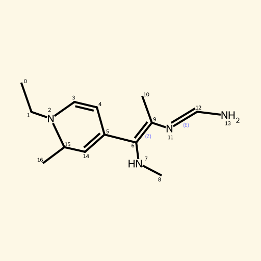 CCN1C=CC(/C(NC)=C(C)/N=C/N)=CC1C